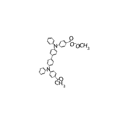 COCOC(=O)c1ccc(N(c2ccccc2)c2ccc(-c3ccc(N(c4ccccc4)c4ccc(C(C)=O)cc4)cc3)cc2)cc1